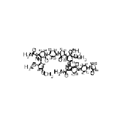 COc1ccc(-n2nc(C(N)=O)c3c2C(=O)N(c2ccc(N4CCC(c5cc(-n6nc(C(N)=O)c7c6C(=O)N(c6ccc(N8CCCC8=O)cc6)CC7)cc(OC)c5OC)C4=O)cc2)CC3)c(OC)c1